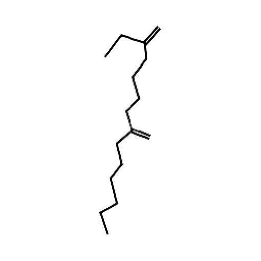 C=C(CC)CCCCC(=C)CCCCCC